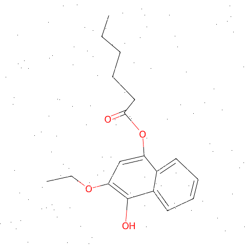 CCCCCC(=O)Oc1cc(OCC)c(O)c2ccccc12